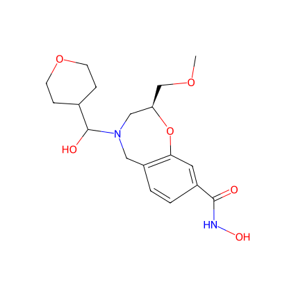 COC[C@@H]1CN(C(O)C2CCOCC2)Cc2ccc(C(=O)NO)cc2O1